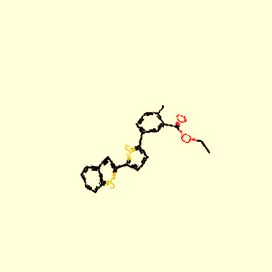 CCOC(=O)c1cc(-c2ccc(-c3cc4ccccc4s3)s2)ccc1C